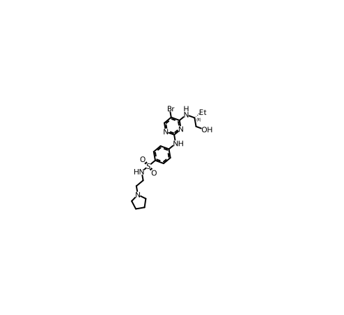 CC[C@H](CO)Nc1nc(Nc2ccc(S(=O)(=O)NCCN3CCCC3)cc2)ncc1Br